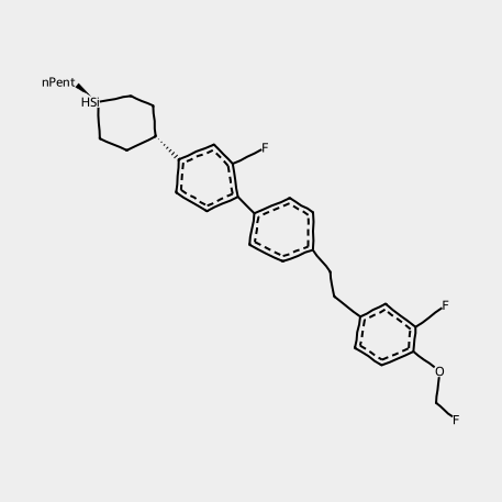 CCCCC[Si@H]1CC[C@H](c2ccc(-c3ccc(CCc4ccc(OCF)c(F)c4)cc3)c(F)c2)CC1